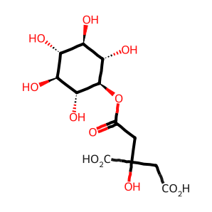 O=C(O)CC(O)(CC(=O)O[C@H]1[C@H](O)[C@@H](O)[C@H](O)[C@@H](O)[C@@H]1O)C(=O)O